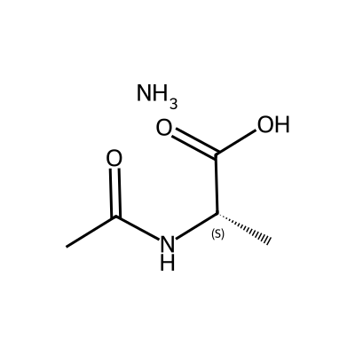 CC(=O)N[C@@H](C)C(=O)O.N